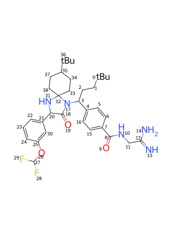 CC(C)(C)CCC(c1ccc(C(=O)NCC(=N)N)cc1)N1C(=O)C(c2cccc(OC(F)F)c2)NC12CCC(C(C)(C)C)CC2